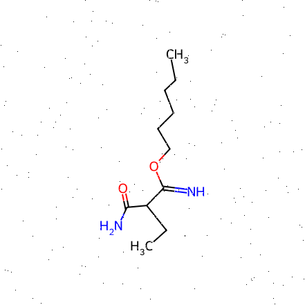 CCCCCCOC(=N)C(CC)C(N)=O